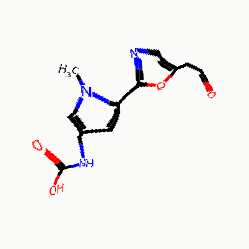 Cn1cc(NC(=O)O)cc1-c1ncc(C=O)o1